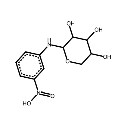 O=[N+](O)c1cccc(NC2OCC(O)C(O)C2O)c1